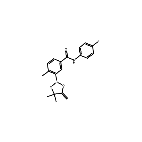 C=C1OB(c2cc(C(=O)Nc3ccc(F)cc3)ccc2C)OC1(C)C